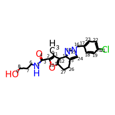 Cc1c(C(=O)NCCCO)oc2c1-c1nn(Cc3ccc(Cl)cc3)cc1CC2